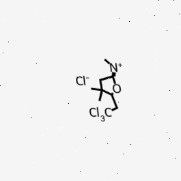 C[N+](C)=C1CC(C)(C)C(CC(Cl)(Cl)Cl)O1.[Cl-]